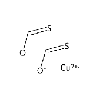 [Cu+2].[O-]C=S.[O-]C=S